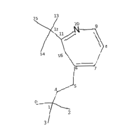 CC(C)(C)CCC1=CC=CN=C(C(C)(C)C)C1